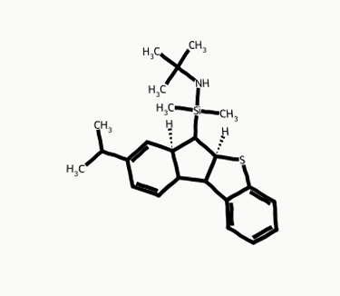 CC(C)C1=C[C@@H]2C(C=C1)C1c3ccccc3S[C@@H]1C2[Si](C)(C)NC(C)(C)C